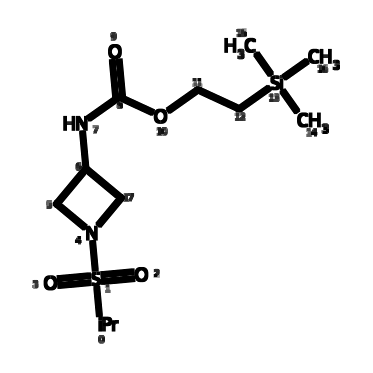 CC(C)S(=O)(=O)N1CC(NC(=O)OCC[Si](C)(C)C)C1